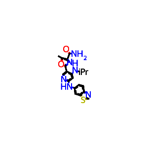 Cc1oc(-c2cnc(Nc3ccc4ncsc4c3)cc2NC(C)C)nc1C(N)=O